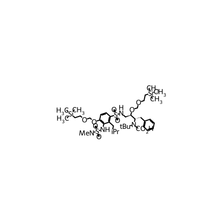 CNS(=O)(=O)Nc1c(OCOCC[Si](C)(C)C)ccc(S(=O)(=O)NC[C@@H](OCOCC[Si](C)(C)C)[C@H](Cc2ccccc2)N(C(=O)O)C(C)(C)C)c1CC(C)C